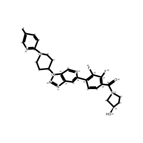 Cc1ccc(N2CCC(n3nnc4cc(-c5ccc(C(=O)N6CC[C@@H](O)C6)c(F)c5F)ncc43)CC2)nc1